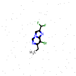 CCc1ncn2cc(C(F)F)nc2c1Br